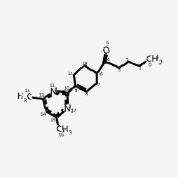 CCCCC(=O)C1CC=C(c2nc(C)cc(C)n2)CC1